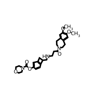 COc1cc2c(cc1OC)CCN(C(=O)CCNCC1Cc3cc(OC(=O)N4CCOCC4)ccc31)CC2